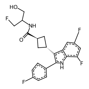 O=C(NC(CO)CF)[C@H]1C[C@H](c2c(-c3ccc(F)cc3)[nH]c3c(F)cc(F)cc32)C1